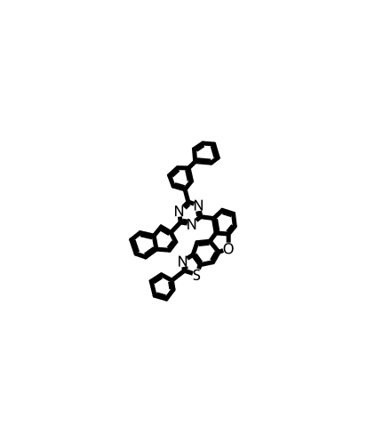 c1ccc(-c2cccc(-c3nc(-c4ccc5ccccc5c4)nc(-c4cccc5oc6cc7sc(-c8ccccc8)nc7cc6c45)n3)c2)cc1